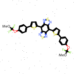 COC(F)(F)Oc1ccc(-c2ccc(-c3c4c(c(-c5ccc(-c6ccc(OC(F)(F)OC)cc6)s5)c5nsnc35)N=S=N4)s2)cc1